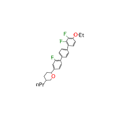 CCCC1CCC(c2ccc(-c3ccc(-c4ccc(OCC)c(F)c4F)cc3)c(F)c2)OC1